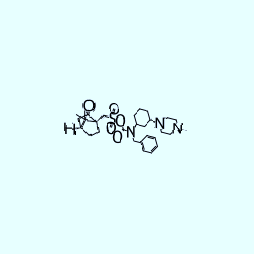 CN1CCN([C@@H]2CCC[C@H](N(Cc3ccccc3)C(=O)OS(=O)(=O)C[C@]34CC[C@H](CC3=O)C4(C)C)C2)CC1